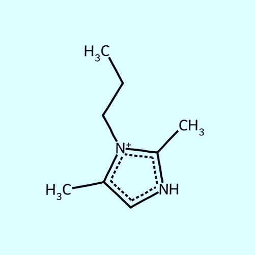 CCC[n+]1c(C)c[nH]c1C